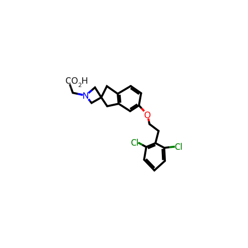 O=C(O)CN1CC2(Cc3ccc(OCCc4c(Cl)cccc4Cl)cc3C2)C1